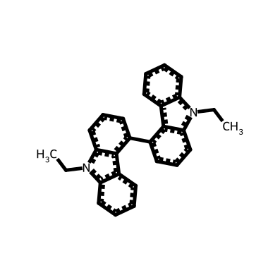 CCn1c2ccccc2c2c(-c3cccc4c3c3ccccc3n4CC)cccc21